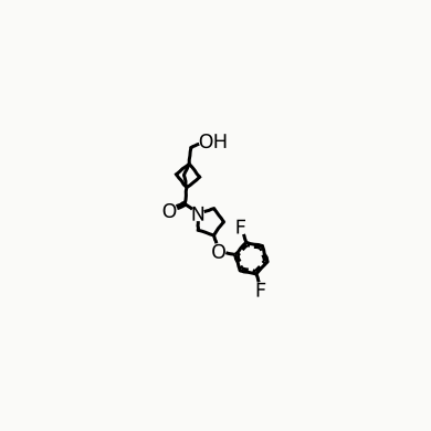 O=C(N1CCC(Oc2cc(F)ccc2F)C1)C12CC(CO)(C1)C2